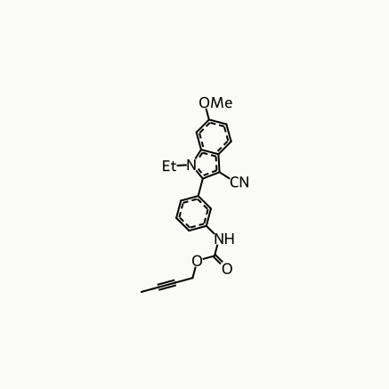 CC#CCOC(=O)Nc1cccc(-c2c(C#N)c3ccc(OC)cc3n2CC)c1